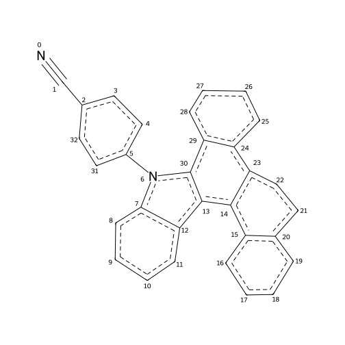 N#Cc1ccc(-n2c3ccccc3c3c4c5ccccc5ccc4c4ccccc4c32)cc1